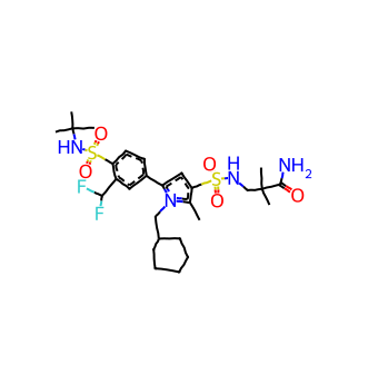 Cc1c(S(=O)(=O)NCC(C)(C)C(N)=O)cc(-c2ccc(S(=O)(=O)NC(C)(C)C)c(C(F)F)c2)n1CC1CCCCC1